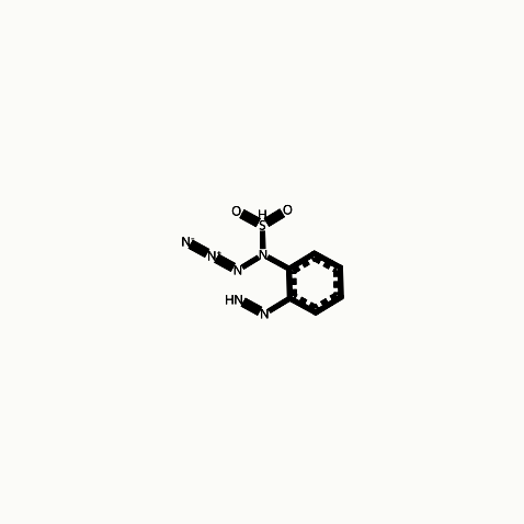 [N-]=[N+]=NN(c1ccccc1N=N)[SH](=O)=O